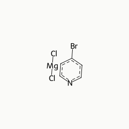 Brc1ccncc1.[Cl][Mg][Cl]